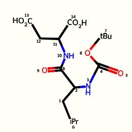 CC(C)CC(NC(=O)OC(C)(C)C)C(=O)NC(CC(=O)O)C(=O)O